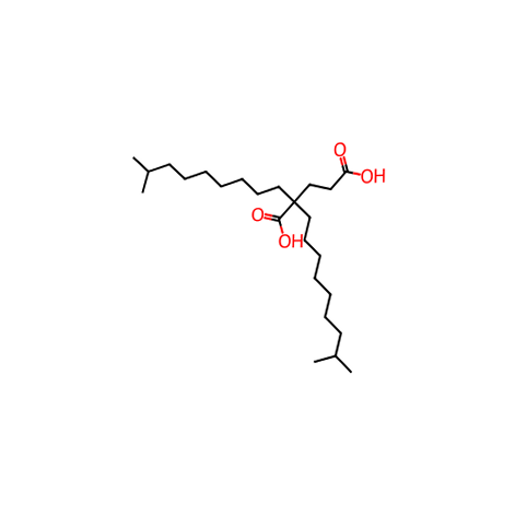 CC(C)CCCCCCCC(CCCCCCCC(C)C)(CCC(=O)O)C(=O)O